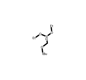 CCO[SiH](COC(C)(C)C)OCC